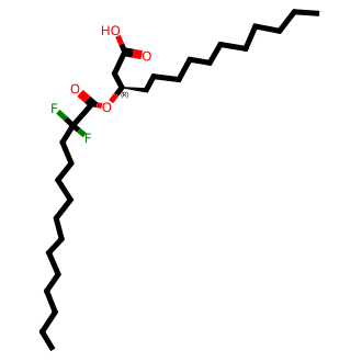 CCCCCCCCCCCCC(F)(F)C(=O)O[C@H](CCCCCCCCCCC)CC(=O)O